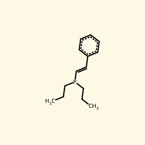 CCCP(/C=C/c1ccccc1)CCC